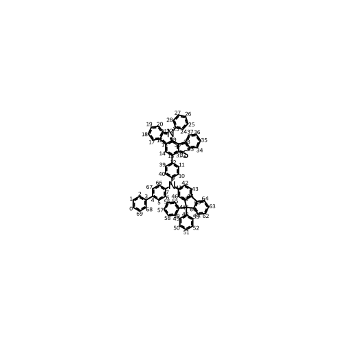 c1ccc(-c2ccc(N(c3ccc(-c4cc5c6ccccc6n(-c6ccccc6)c5c5c4sc4ccccc45)cc3)c3ccc4c(c3)C(c3ccccc3)(c3ccccc3)c3ccccc3-4)cc2)cc1